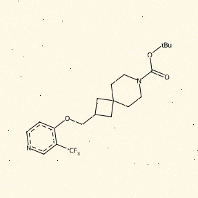 CC(C)(C)OC(=O)N1CCC2(CC1)CC(COc1ccncc1C(F)(F)F)C2